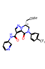 COC[C@@H]1CN(c2ccc(C(F)(F)F)cc2)C(=O)c2c(C(=O)Nc3cccnc3)cnn21